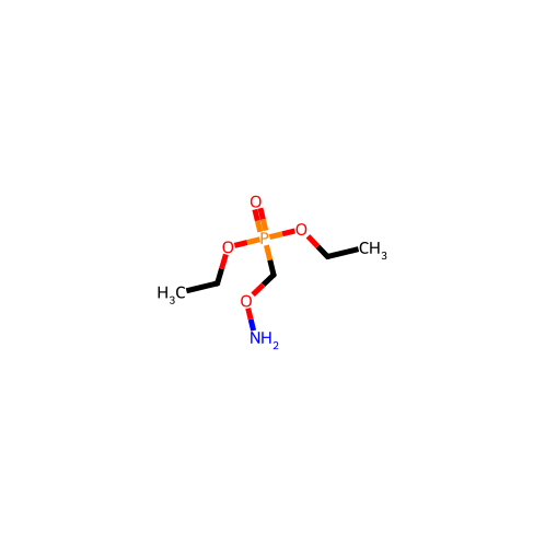 CCOP(=O)(CON)OCC